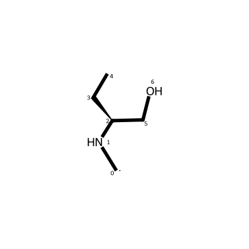 [CH2]N[C@@H](CC)CO